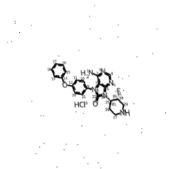 Cl.Nc1ncnc2c1n(-c1ccc(Oc3ccccc3)cc1)c(=O)n2[C@@H]1CCNC[C@H]1F